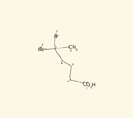 CC(C)(C)C(C)(Br)CCCC(=O)O